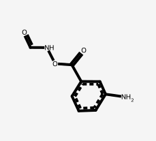 Nc1cccc(C(=O)ONC=O)c1